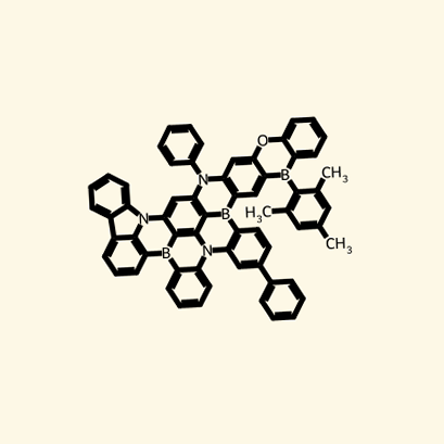 Cc1cc(C)c(B2c3ccccc3Oc3cc4c(cc32)B2c3ccc(-c5ccccc5)cc3N3c5ccccc5B5c6c(cc(c2c63)N4c2ccccc2)-n2c3ccccc3c3cccc5c32)c(C)c1